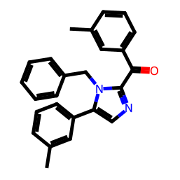 Cc1cccc(C(=O)c2ncc(-c3cccc(C)c3)n2Cc2ccccc2)c1